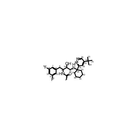 CC(=O)NC(Cc1cc(F)cc(F)c1)C(O)CNC1(c2cc(C(C)(C)C)cnn2)CCCCC1